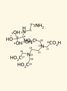 NCCNC(O)C(O)(O)O.O=C(O)CN(CCN(CC(=O)O)CC(=O)O)CC(=O)O